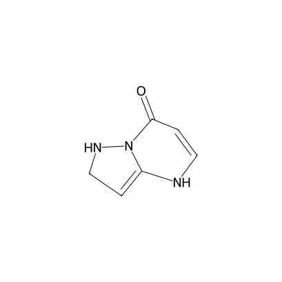 O=C1C=CNC2=CCNN12